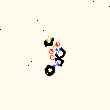 O=C1N(c2ccccc2)CCC12CCCN(S(=O)(=O)c1ccsc1)C2